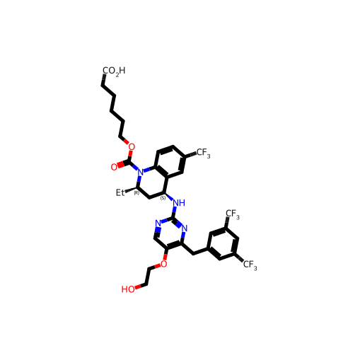 CC[C@@H]1C[C@H](Nc2ncc(OCCO)c(Cc3cc(C(F)(F)F)cc(C(F)(F)F)c3)n2)c2cc(C(F)(F)F)ccc2N1C(=O)OCCCCCC(=O)O